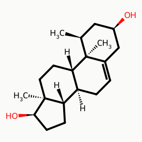 C[C@H]1C[C@@H](O)CC2=CC[C@H]3[C@@H]4CC[C@@H](O)[C@@]4(C)CC[C@@H]3[C@]21C